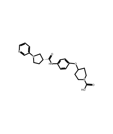 O=C(Nc1ccc(OC2CCN(C(=O)O)CC2)cc1)[C@@H]1CCN(c2cccnc2)C1